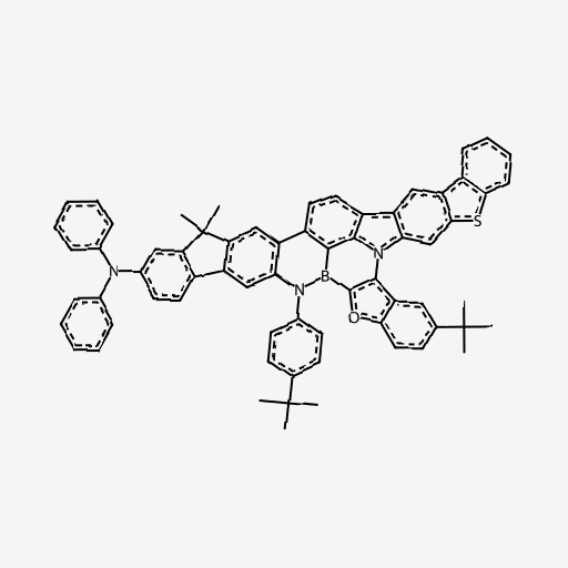 CC(C)(C)c1ccc(N2B3c4oc5ccc(C(C)(C)C)cc5c4-n4c5cc6sc7ccccc7c6cc5c5ccc(c3c54)-c3cc4c(cc32)-c2ccc(N(c3ccccc3)c3ccccc3)cc2C4(C)C)cc1